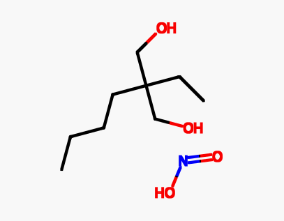 CCCCC(CC)(CO)CO.O=NO